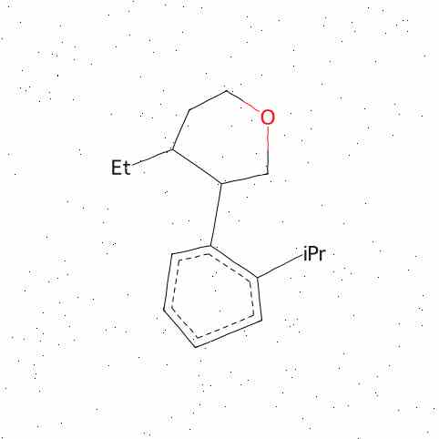 CCC1CCOCC1c1ccccc1C(C)C